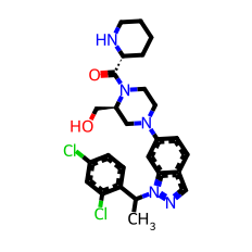 CC(c1ccc(Cl)cc1Cl)n1ncc2ccc(N3CCN(C(=O)[C@H]4CCCCN4)[C@H](CO)C3)cc21